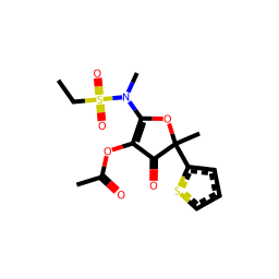 CCS(=O)(=O)N(C)C1=C(OC(C)=O)C(=O)C(C)(c2cccs2)O1